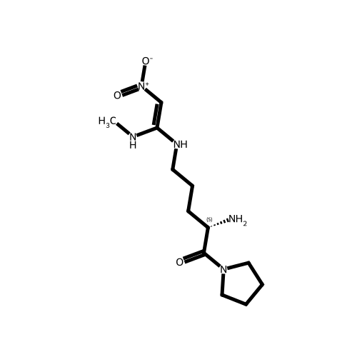 CNC(=C[N+](=O)[O-])NCCC[C@H](N)C(=O)N1CCCC1